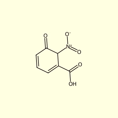 O=C(O)C1=CC=CC(=O)C1[N+](=O)[O-]